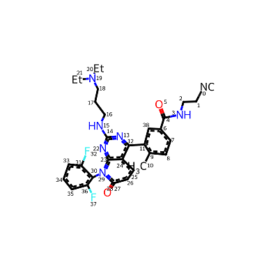 [C-]#[N+]CCNC(=O)c1ccc(C)c(-c2nc(NCCCN(CC)CC)nc3c2ccc(=O)n3-c2c(F)cccc2F)c1